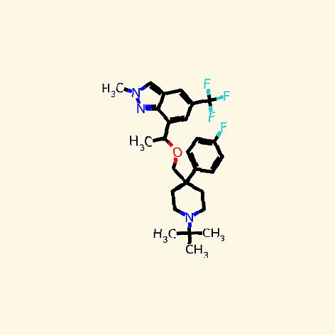 CC(OCC1(c2ccc(F)cc2)CCN(C(C)(C)C)CC1)c1cc(C(F)(F)F)cc2cn(C)nc12